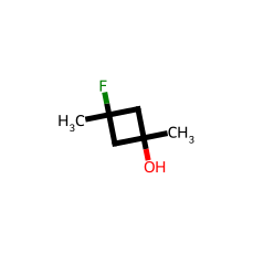 CC1(O)CC(C)(F)C1